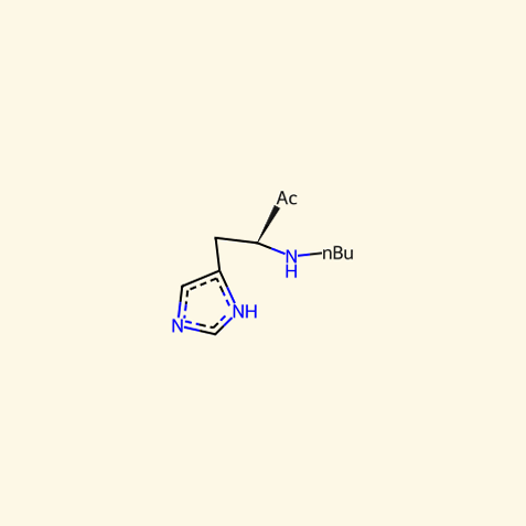 CCCCN[C@@H](Cc1cnc[nH]1)C(C)=O